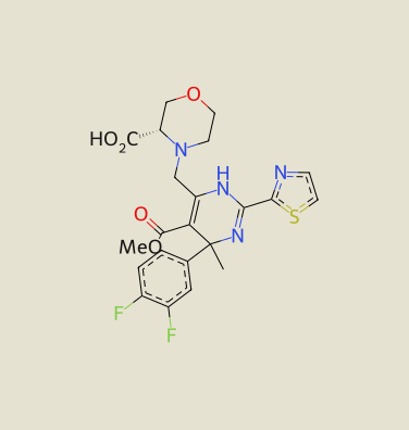 COC(=O)C1=C(CN2CCOC[C@H]2C(=O)O)NC(c2nccs2)=NC1(C)c1ccc(F)c(F)c1